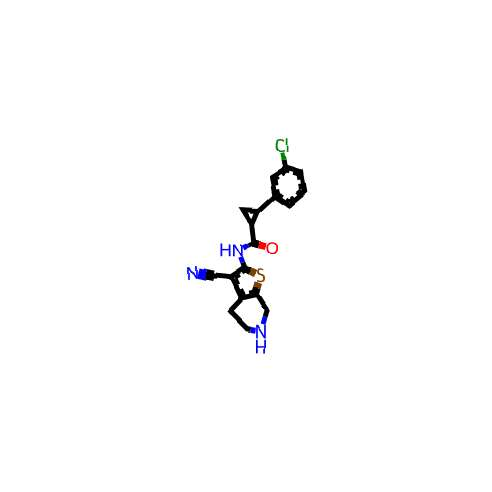 N#Cc1c(NC(=O)C2CC2c2cccc(Cl)c2)sc2c1CCNC2